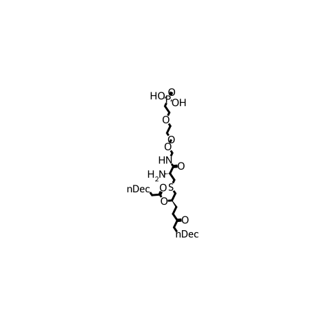 CCCCCCCCCCCC(=O)CC[C@H](CSC[C@H](N)C(=O)NCOOCCOCCP(=O)(O)O)OC(=O)CCCCCCCCCCC